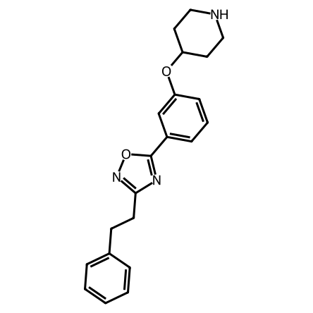 c1ccc(CCc2noc(-c3cccc(OC4CCNCC4)c3)n2)cc1